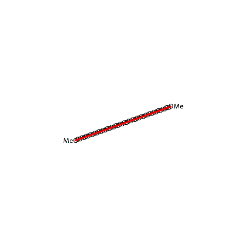 COCCOCCOCCOCCOCCOCCOCCOCCOCCOCCOCCOCCOCCOCCOCCOCCOCCOCCOCCOCCOCCOCCOCCOCCOCCOCCOCCOCCOCCOCCOCCOCCOCCOCCOCCOCCOCCOCCOCCOCCOCCOCCOCCOCCOCCOC